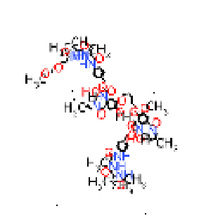 COCCOCCC(=O)NC(C(=O)N[C@@H](C)C(=O)Nc1ccc(COC(=O)N2c3cc(OCCCCCOc4cc5c(cc4OC)C(=O)N4C=C(C)C[C@H]4[C@H](O)N5C(=O)OCc4ccc(NC(=O)[C@H](C)NC(=O)[C@@H](NC(C)=O)C(C)C)cc4)c(OC)cc3C(=O)N3C=C(C)C[C@H]3[C@@H]2O)cc1)C(C)C